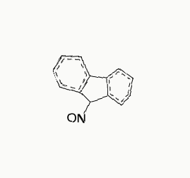 O=NC1c2ccccc2-c2ccccc21